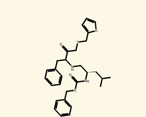 CC(C)C[C@@H](CNC(Cc1ccccc1)C(=O)CSCc1ccco1)NC(=O)OCc1ccccc1